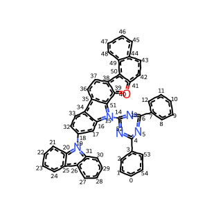 c1ccc(-c2nc(-c3ccccc3)nc(-n3c4cc(-n5c6ccccc6c6ccccc65)ccc4c4ccc5c(oc6ccc7ccccc7c65)c43)n2)cc1